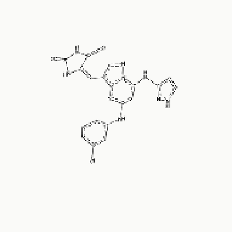 O=C1NC(=O)/C(=C\c2cnn3c(Nc4cc[nH]n4)cc(Nc4cccc(Cl)c4)nc23)N1